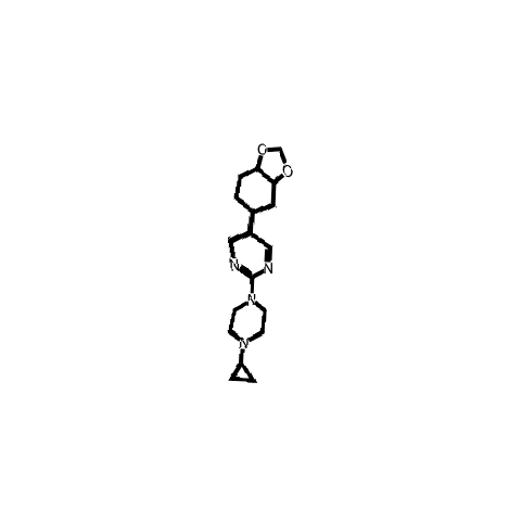 C1=NC(N2CCN(C3CC3)CC2)=NCC1C1CCC2OCOC2C1